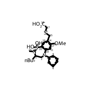 CCCCC1CN(c2ccccc2)c2cc(OC)c(CSCC(=O)O)cc2S(O)(O)N1C